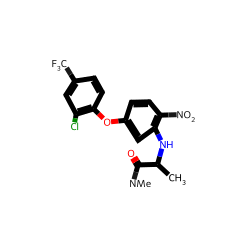 CNC(=O)C(C)Nc1cc(Oc2ccc(C(F)(F)F)cc2Cl)ccc1[N+](=O)[O-]